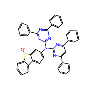 [O-][s+]1c2ccccc2c2ccc(N(c3nc(-c4ccccc4)cc(-c4ccccc4)n3)c3nc(-c4ccccc4)nc(-c4ccccc4)n3)cc21